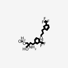 NC(CO)(CCc1ccc(OCCCc2cccc(C(F)(F)F)c2)c(C(F)(F)F)c1)CO[PH2]=O